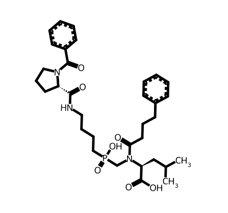 CC(C)C[C@@H](C(=O)O)N(CP(=O)(O)CCCCNC(=O)[C@@H]1CCCN1C(=O)c1ccccc1)C(=O)CCCc1ccccc1